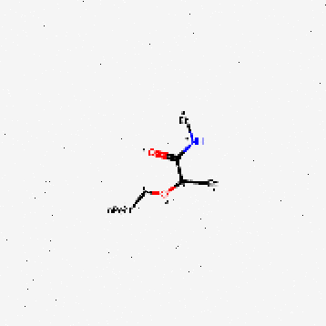 CCCCCCOC(CC)C(=O)NCC